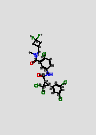 CN(CC1CC(F)(F)C1)C(=O)c1cc(NC(=O)[C@H]2[C@H](c3cc(Cl)cc(Cl)c3)C2(Cl)Cl)ccc1Cl